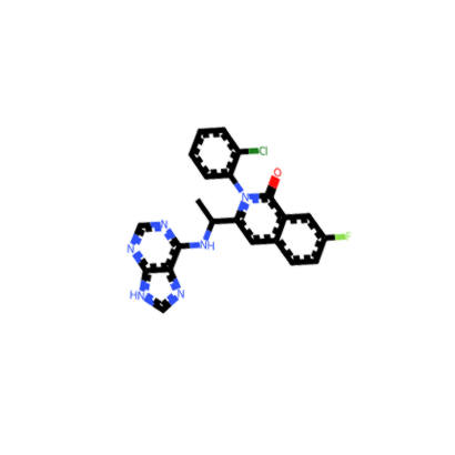 CC(Nc1ncnc2[nH]cnc12)c1cc2ccc(F)cc2c(=O)n1-c1ccccc1Cl